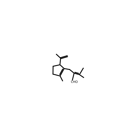 C=C(C)C1CCC(C)=C1CC(C=O)=C(C)C